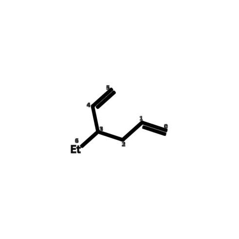 C=CCC(C=C)CC